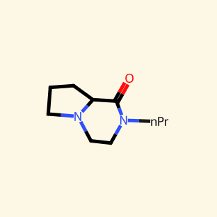 CCCN1CCN2CCCC2C1=O